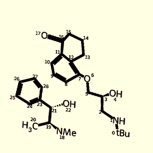 CC(C)(C)NC[C@H](O)COc1cccc2c1CCCC2=O.CN[C@@H](C)[C@@H](O)c1ccccc1